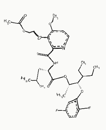 CCC(CC)[C@H](Oc1cc(F)ccc1F)[C@H](C)OC(=O)[C@H](CC(C)C)NC(=O)c1nccc(OC)c1OCOC(C)=O